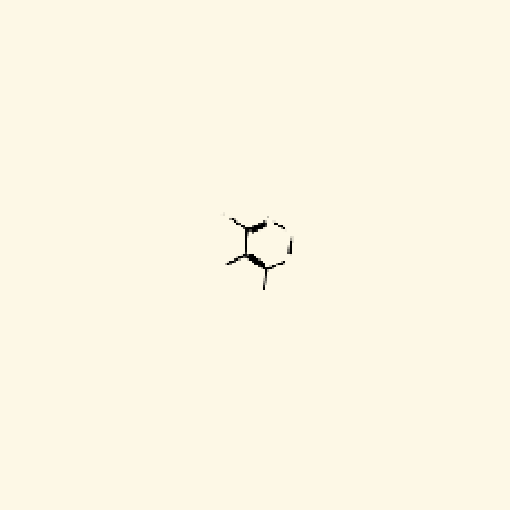 [2H]C1=NOSC([2H])=C1[2H]